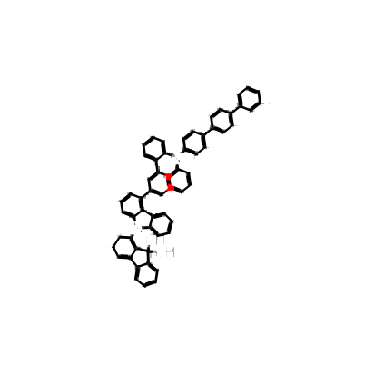 CC1(C)C2=C(n3c4ccccc4c4c(-c5cccc(-c6ccccc6N(c6ccccc6)c6ccc(-c7ccc(-c8ccccc8)cc7)cc6)c5)cccc43)CCC=C2c2ccccc21